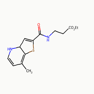 CCOC(=O)CCNC(=O)C1=CC2NC=CC(C)=C2S1